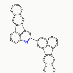 c1ccc2cc3c(cc2c1)-c1cccc2nc(-c4cc5c6c(cccc6c4)-c4cc6cnccc6cc4-5)cc-3c12